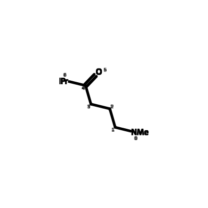 CNCCCC(=O)C(C)C